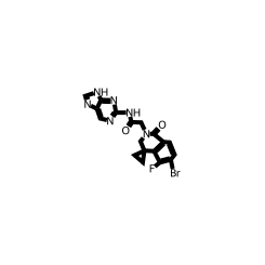 O=C(CN1CC2(CC2)c2c(ccc(Br)c2F)C1=O)Nc1ncc2nc[nH]c2n1